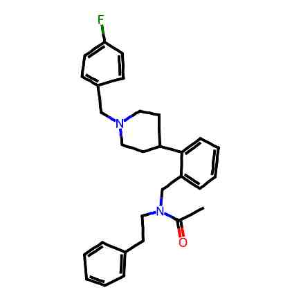 CC(=O)N(CCc1ccccc1)Cc1ccccc1C1CCN(Cc2ccc(F)cc2)CC1